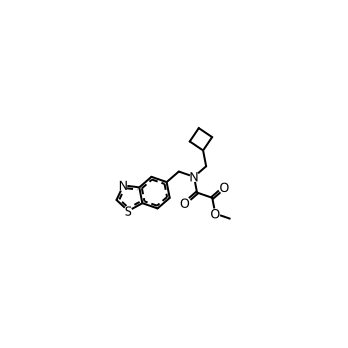 COC(=O)C(=O)N(Cc1ccc2scnc2c1)CC1CCC1